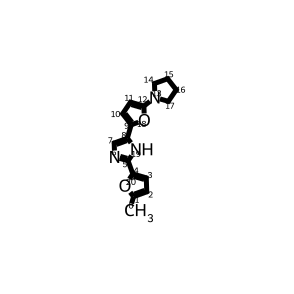 Cc1ccc(-c2ncc(-c3ccc(N4CCCC4)o3)[nH]2)o1